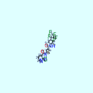 Cc1cc(C(F)(CF)C(F)(F)F)cc(C)c1NC(=O)c1csc(NC(=O)c2cccnc2Cl)c1